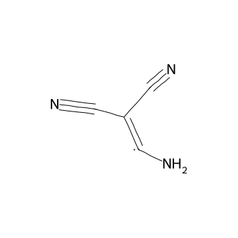 N#CC(=[C]N)C#N